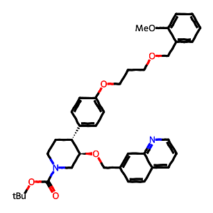 COc1ccccc1COCCCOc1ccc([C@H]2CCN(C(=O)OC(C)(C)C)C[C@@H]2OCc2ccc3cccnc3c2)cc1